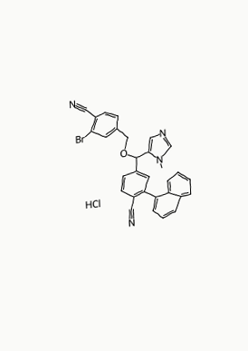 Cl.Cn1cncc1C(OCc1ccc(C#N)c(Br)c1)c1ccc(C#N)c(-c2cccc3ccccc23)c1